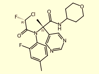 Cc1ccc(N(C(=O)[C@H](F)Cl)[C@](C)(C(=O)NC2CCOCC2)c2cncnc2)c(F)c1